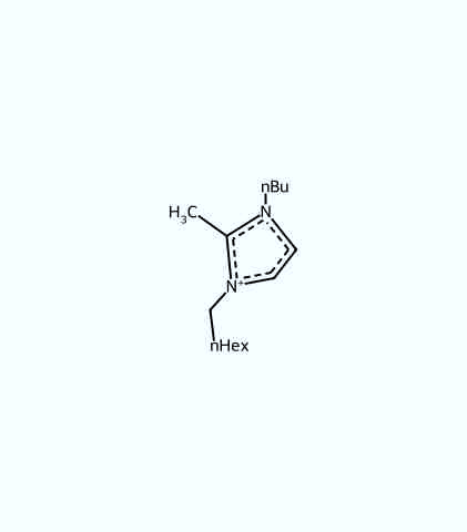 CCCCCCC[n+]1ccn(CCCC)c1C